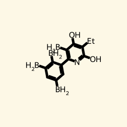 Bc1cc(B)c(B)c(-c2nc(O)c(CC)c(O)c2B)c1